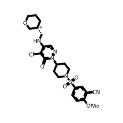 COc1ccc(S(=O)(=O)N2CCC(n3ncc(NC[C@H]4CCCOC4)c(Cl)c3=O)CC2)cc1C#N